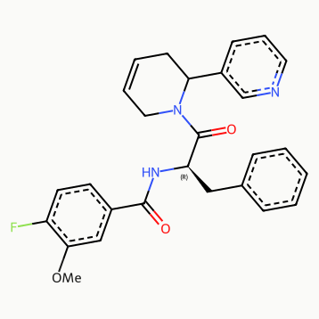 COc1cc(C(=O)N[C@H](Cc2ccccc2)C(=O)N2CC=CCC2c2cccnc2)ccc1F